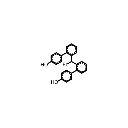 CCC(c1ccccc1-c1ccc(O)cc1)c1ccccc1-c1ccc(O)cc1